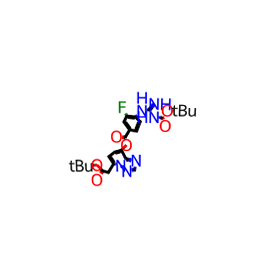 CC(C)(C)OC(=O)Cc1ccc(OC(=O)c2ccc(NC(=N)NC(=O)OC(C)(C)C)c(F)c2)c2ncnn12